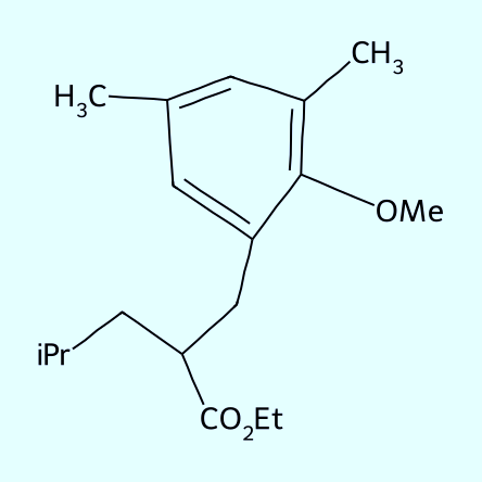 CCOC(=O)C(Cc1cc(C)cc(C)c1OC)CC(C)C